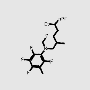 CCCC(CC)CCC(C)CN(CF)c1c(F)c(C)c(F)c(F)c1F